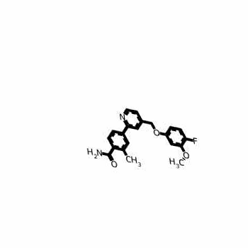 COc1cc(OCc2ccnc(-c3ccc(C(N)=O)c(C)c3)c2)ccc1F